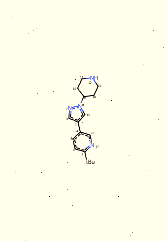 CC(C)(C)c1ccc(-c2cnn(C3CCNCC3)c2)cn1